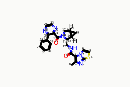 Cc1nc2sccn2c1C(=O)NC[C@@H]1[C@H]2C[C@H]2CN1C(=O)c1nccnc1-c1ccccc1